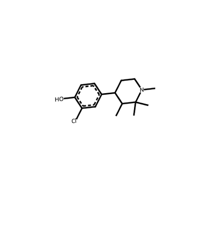 CC1C(c2ccc(O)c(Cl)c2)CCN(C)C1(C)C